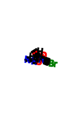 CN(C)CCN(C)C(=O)[C@H]1[C@H](C(=O)Nc2ccc(Br)cc2)[C@@H]2C=C[C@H]1C21CC1